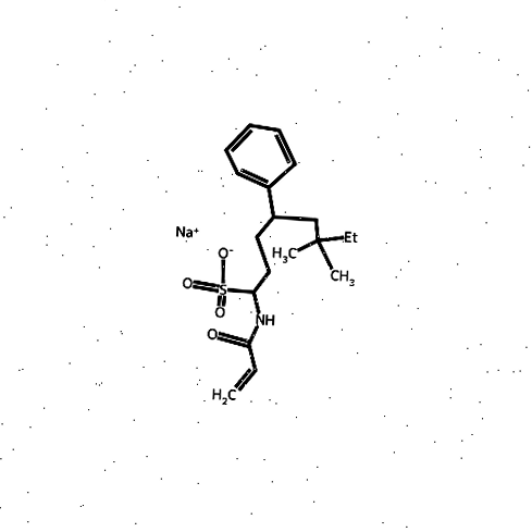 C=CC(=O)NC(CCC(CC(C)(C)CC)c1ccccc1)S(=O)(=O)[O-].[Na+]